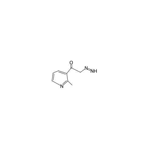 Cc1ncccc1C(=O)CN=N